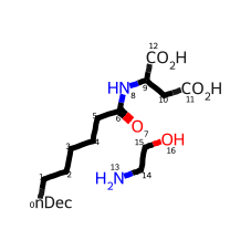 CCCCCCCCCCCCCCCC(=O)NC(CC(=O)O)C(=O)O.NCCO